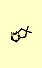 CC1(C)Cc2c[c]nn2C1